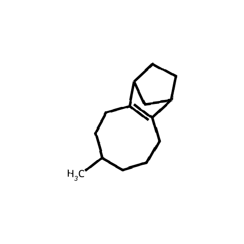 CC1CCCC2=C(CC1)C1CCC2C1